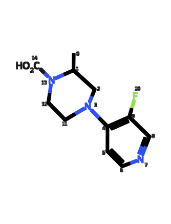 CC1CN(c2ccncc2F)CCN1C(=O)O